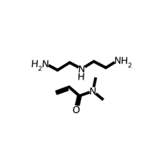 C=CC(=O)N(C)C.NCCNCCN